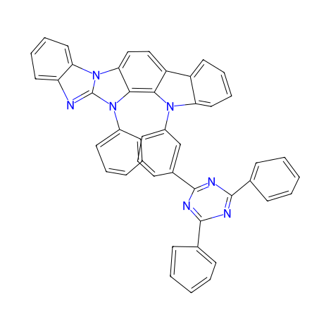 c1ccc(-c2nc(-c3ccccc3)nc(-c3cccc(-n4c5ccccc5c5ccc6c(c54)n(-c4ccccc4)c4nc5ccccc5n64)c3)n2)cc1